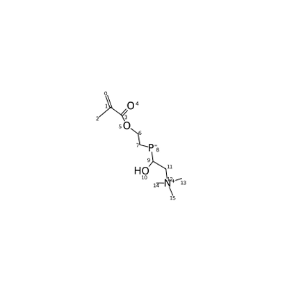 C=C(C)C(=O)OCC[P-]C(O)C[N+](C)(C)C